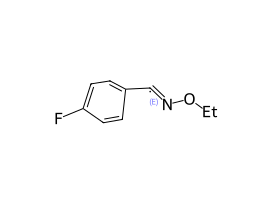 CCO/N=[C]/c1ccc(F)cc1